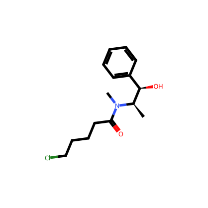 C[C@H]([C@H](O)c1ccccc1)N(C)C(=O)CCCCCl